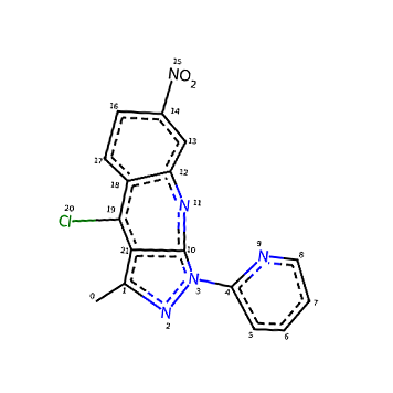 Cc1nn(-c2ccccn2)c2nc3cc([N+](=O)[O-])ccc3c(Cl)c12